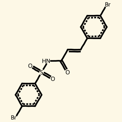 O=C(C=Cc1ccc(Br)cc1)NS(=O)(=O)c1ccc(Br)cc1